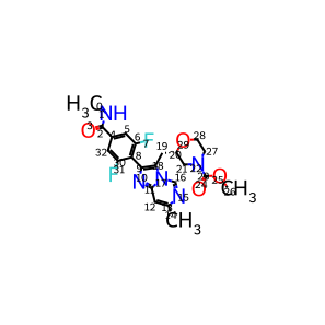 CNC(=O)c1cc(F)c(-c2nc3cc(C)ncn3c2C[C@H]2CN(C(=O)OC)CCO2)c(F)c1